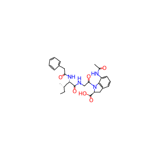 CC[C@H](C)[C@H](NC(=O)Cc1ccccc1)C(=O)NCC(=O)N1c2c(cccc2NC(C)=O)C[C@H]1C(=O)O